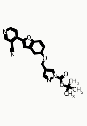 CC(C)(C)OC(=O)n1cc(COC2C=Cc3oc(-c4ccncc4C#N)cc3C2)cn1